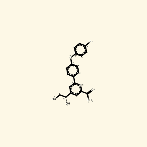 NC(=O)c1cc([C@H](O)CO)cc(-c2ccc(Oc3ccc(F)cc3)cc2)n1